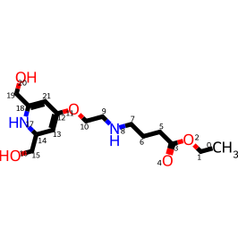 CCOC(=O)CCCNCCOC1=CC(CO)NC(CO)=C1